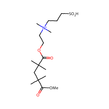 COC(=O)C(C)(C)CC(C)(C)C(=O)OCC[N+](C)(C)CCCS(=O)(=O)O